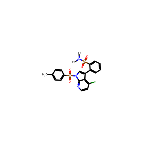 CCN(CC)S(=O)(=O)c1ccccc1-c1cn(S(=O)(=O)c2ccc(C)cc2)c2nccc(Cl)c12